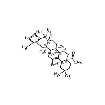 CCC1=C2[C@@H]3CC(C)(C)CC[C@]3(C(=O)OC)CC[C@@]2(C)[C@]2(C)CC[C@H]3C(C)(C)c4n[nH]c(C)c4C[C@]3(C)C2C1